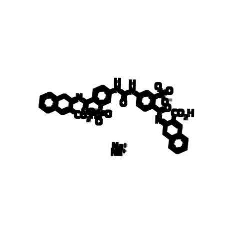 O=C(Nc1ccc(C(=O)N=C2Cc3ccccc3C=C2C(=O)O)c(S(=O)(=O)[O-])c1)Nc1ccc(C(=O)N=C2Cc3ccccc3C=C2C(=O)O)c(S(=O)(=O)[O-])c1.[Na+].[Na+]